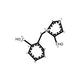 O=Cc1cncn1Cc1ccccc1C(=O)O